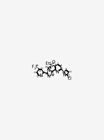 CCS(=O)(=O)c1ccc(-n2ccc(Cl)n2)nc1-c1nnc(-c2cc(C(F)(F)F)ccn2)n1C